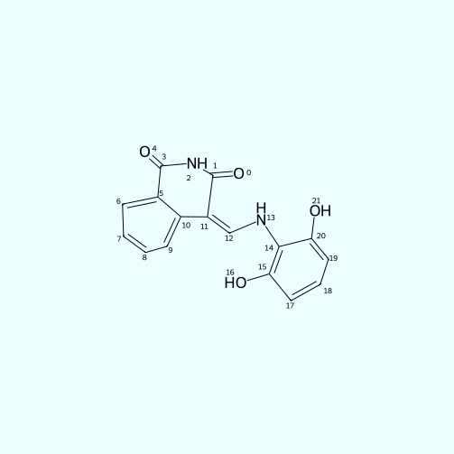 O=C1NC(=O)c2ccccc2/C1=C/Nc1c(O)cccc1O